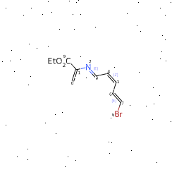 C=C(/N=C/C=C\C=C\Br)C(=O)OCC